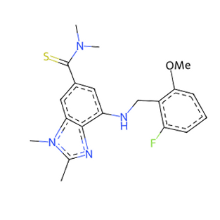 COc1cccc(F)c1CNc1cc(C(=S)N(C)C)cc2c1nc(C)n2C